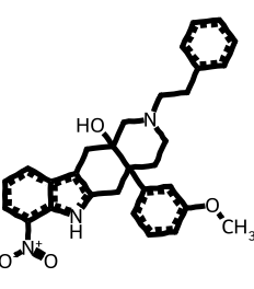 COc1cccc(C23CCN(CCc4ccccc4)CC2(O)Cc2c([nH]c4c([N+](=O)[O-])cccc24)C3)c1